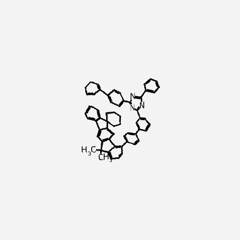 CC1(C)c2cc3c(cc2-c2c(-c4ccc(-c5cccc(-c6nc(-c7ccccc7)nc(-c7ccc(C8=CCCC=C8)cc7)n6)c5)cc4)cccc21)C1(CCCCC1)c1ccccc1-3